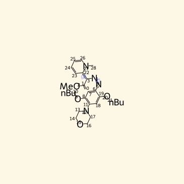 C=C(OC)C(/N=N\c1cc(OCCCC)c(N2CCOCC2)cc1OCCCC)=C1\C=CC=CN1C